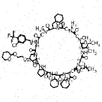 CC[C@H](C)[C@@H]1NC(=O)[C@H](CC(C)C)N(C)C(=O)C[C@@H](C(=O)N2CCCCC2)N(C)C(=O)[C@H](C2CCCCC2)N(C)C(=O)C2(CCCC2)NC(=O)[C@@H]2C[C@@H](OCCOC3CCCCO3)CN2C(=O)[C@H](CCc2ccc(C(F)(F)F)c(Cl)c2)NC(=O)CN(C)C(=O)C(CC2CCCCC2)N(C)C(=O)CN(C)C(=O)CN(C)C1=O